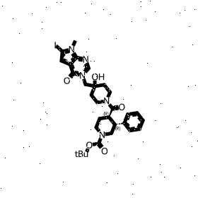 Cn1c(I)cc2c(=O)n(CC3(O)CCN(C(=O)[C@@H]4CCN(C(=O)OC(C)(C)C)C[C@H]4c4ccccc4)CC3)cnc21